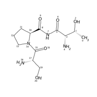 C[C@@H](O)[C@H](N)C(=O)NC(=O)[C@@H]1CCCN1C(=O)[C@@H](N)CO